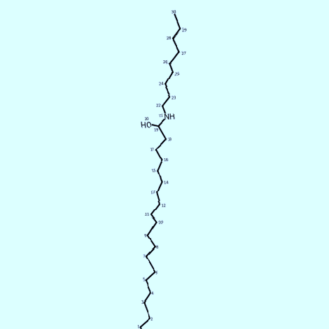 CCCCCCCCCCCCCCCCCCCC(O)NCCCCCCCCC